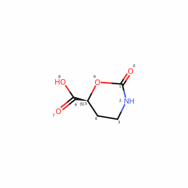 O=C1NCC[C@@H](C(=O)O)O1